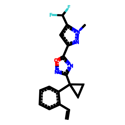 C=Cc1ccccc1C1(c2noc(-c3cc(C(F)F)n(C)n3)n2)CC1